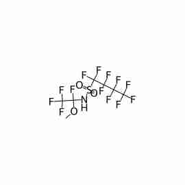 COC(F)(NS(=O)(=O)C(F)(F)C(F)(F)C(F)(F)C(F)(F)F)C(F)(F)F